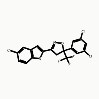 FC(F)(F)C1(c2cc(Cl)cc(Cl)c2)CC(c2cc3cc(Cl)ccc3s2)=NO1